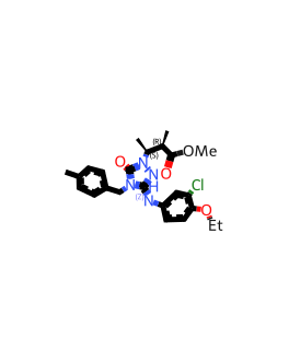 CCOc1ccc(/N=c2\[nH]n([C@@H](C)[C@@H](C)C(=O)OC)c(=O)n2Cc2ccc(C)cc2)cc1Cl